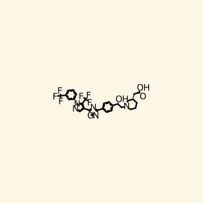 O=C(O)C[C@H]1CCCN(C[C@@H](O)c2ccc(-c3noc(-c4cnn(-c5cccc(C(F)(F)F)c5)c4C(F)(F)F)n3)cc2)C1